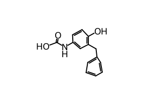 O=C(O)Nc1ccc(O)c(Cc2ccccc2)c1